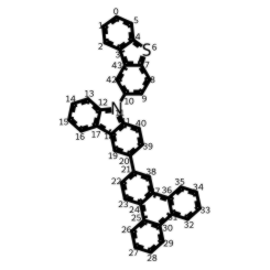 c1ccc2c(c1)sc1ccc(-n3c4ccccc4c4cc(-c5ccc6c7ccccc7c7ccccc7c6c5)ccc43)cc12